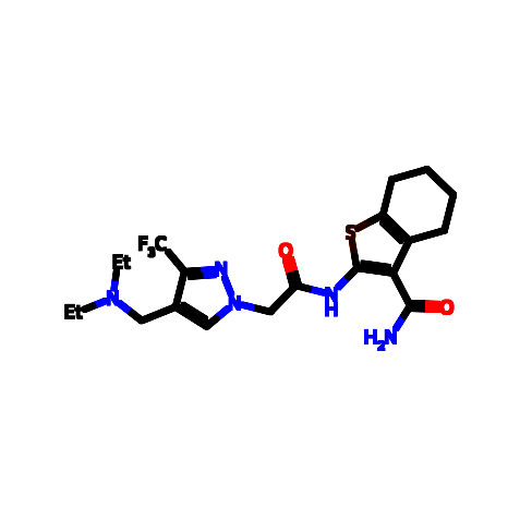 CCN(CC)Cc1cn(CC(=O)Nc2sc3c(c2C(N)=O)CCCC3)nc1C(F)(F)F